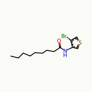 CCCCCCCCC(=O)Nc1cscc1Br